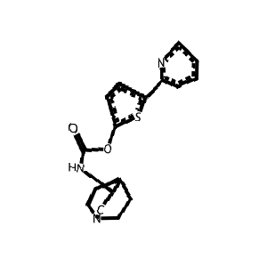 O=C(NC1CN2CCC1CC2)Oc1ccc(-c2ccccn2)s1